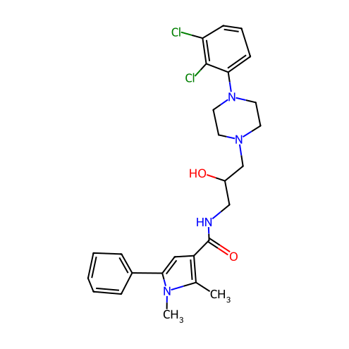 Cc1c(C(=O)NCC(O)CN2CCN(c3cccc(Cl)c3Cl)CC2)cc(-c2ccccc2)n1C